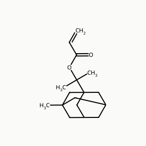 C=CC(=O)OC(C)(C)C12CC3CC(CC(C)(C3)C1)C2